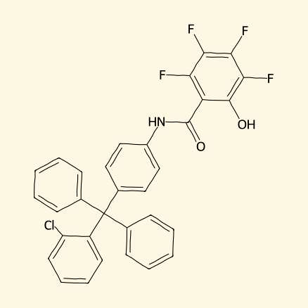 O=C(Nc1ccc(C(c2ccccc2)(c2ccccc2)c2ccccc2Cl)cc1)c1c(O)c(F)c(F)c(F)c1F